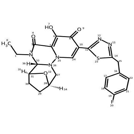 CCN1C(=O)c2c(O)c(=O)c(-c3nnc(Cc4ccc(F)cc4)s3)cn2N2C[C@H]3CC[C@H](O3)[C@H]12